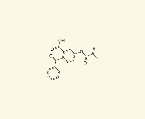 C=C(C)C(=O)Oc1ccc(C(=O)c2ccccc2)c(C(=O)O)c1